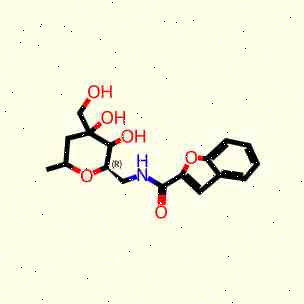 CC1CC(O)(CO)C(O)[C@@H](CNC(=O)c2cc3ccccc3o2)O1